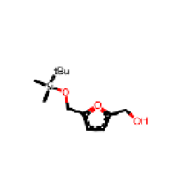 CC(C)(C)[Si](C)(C)OCc1ccc(CO)o1